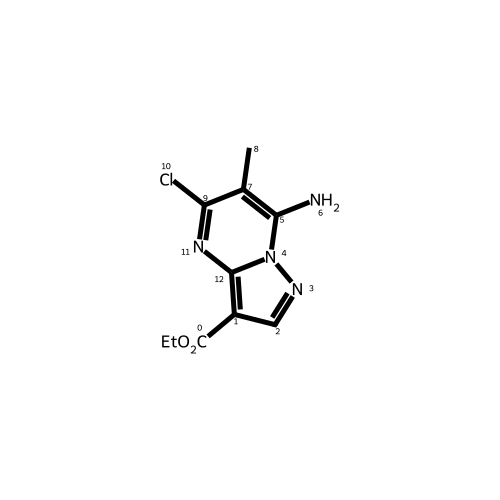 CCOC(=O)c1cnn2c(N)c(C)c(Cl)nc12